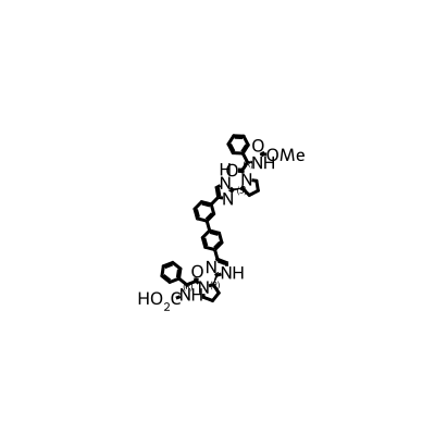 COC(=O)N[C@@H](C(=O)N1CCC[C@H]1c1nc(-c2cccc(-c3ccc(-c4c[nH]c([C@H]5CCCN5C(=O)[C@H](NC(=O)O)c5ccccc5)n4)cc3)c2)c[nH]1)c1ccccc1